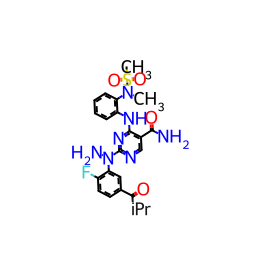 CC(C)C(=O)c1ccc(F)c(N(N)c2ncc(C(N)=O)c(Nc3ccccc3N(C)S(C)(=O)=O)n2)c1